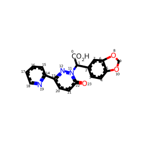 O=C(O)C(c1ccc2c(c1)OCO2)n1nc(-c2ccccn2)ccc1=O